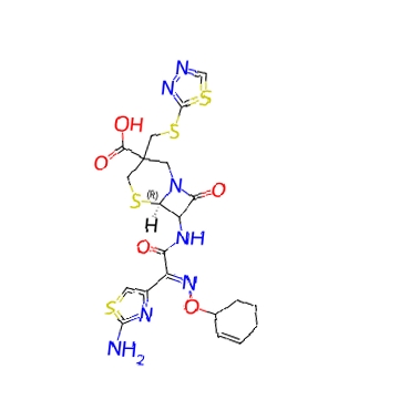 Nc1nc(C(=NOC2C=CCCC2)C(=O)NC2C(=O)N3CC(CSc4nncs4)(C(=O)O)CS[C@H]23)cs1